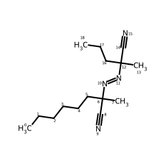 CCCCCCC(C)(C#N)N=NC(C)(C#N)CCC